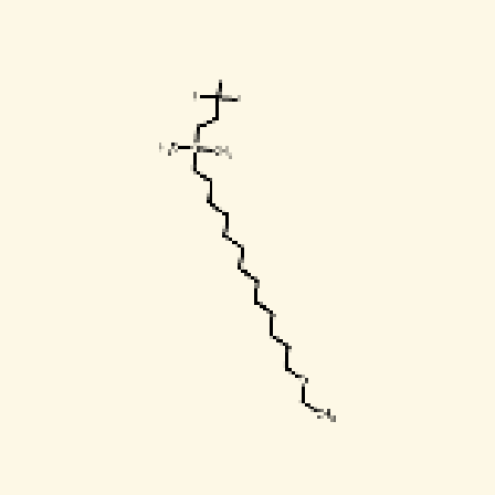 CCOCCCCCCCCCCCCC[Si](C)(C)CCC(F)(F)F